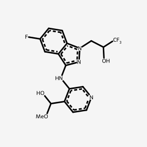 COC(O)c1ccncc1Nc1nn(CC(O)C(F)(F)F)c2ccc(F)cc12